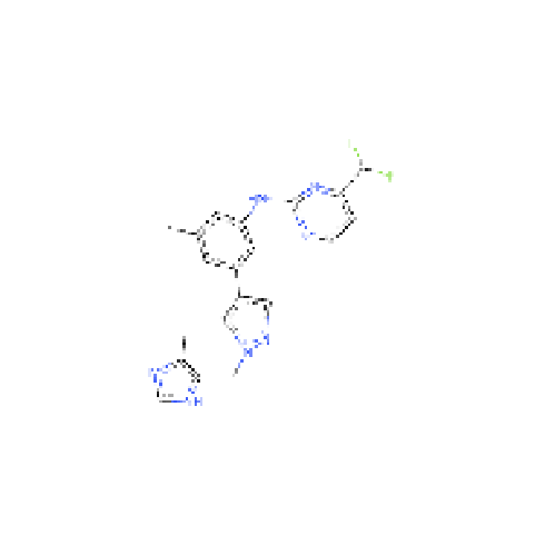 Cc1cc(Nc2nccc(C(F)F)n2)cc(-c2cnn(Cc3[nH]cnc3C)c2)c1